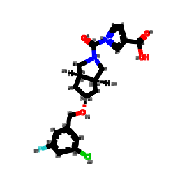 O=C(O)c1ccn(C(=O)N2C[C@H]3C[C@H](OCc4cc(F)cc(Cl)c4)C[C@H]3C2)c1